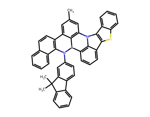 Cc1cc2c3c(c1)-n1c4c(cccc4c4sc5ccccc5c41)B3N(c1ccc3c(c1)C(C)(C)c1ccccc1-3)c1c-2ccc2ccccc12